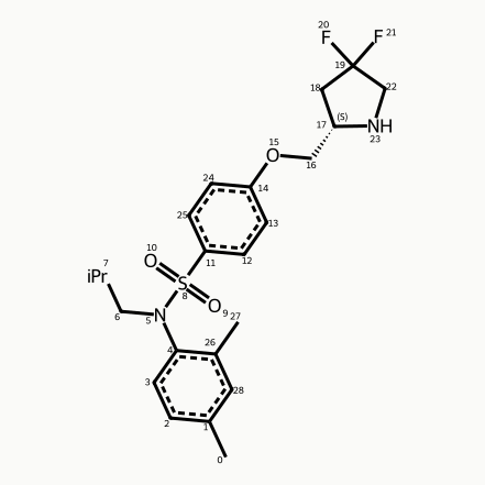 Cc1ccc(N(CC(C)C)S(=O)(=O)c2ccc(OC[C@@H]3CC(F)(F)CN3)cc2)c(C)c1